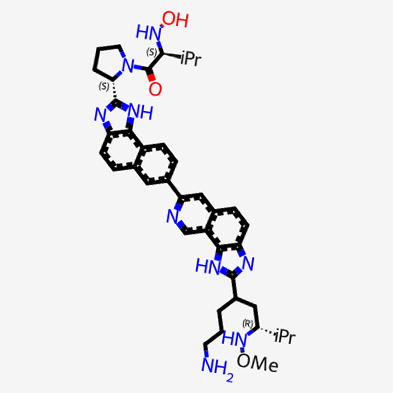 CON[C@H](CC(CCCN)c1nc2ccc3cc(-c4ccc5c(ccc6nc([C@@H]7CCCN7C(=O)[C@@H](NO)C(C)C)[nH]c65)c4)ncc3c2[nH]1)C(C)C